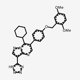 COc1ccc(OC)c(COc2ccc(-c3cnc4c(-c5nnn[nH]5)cnn4c3C3CCCCC3)cc2)c1